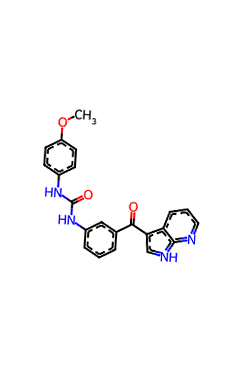 COc1ccc(NC(=O)Nc2cccc(C(=O)c3c[nH]c4ncccc34)c2)cc1